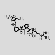 Cc1nc(CNc2cccc(S(=O)(=O)Nc3ccsc3C(=O)N[C@@H](CCCNC(=N)N)C(=O)O)c2)c(C)o1